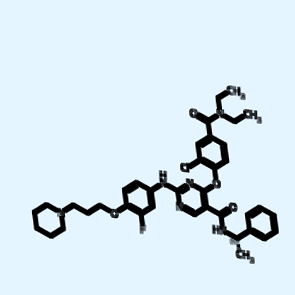 CCN(CC)C(=O)c1ccc(Oc2nc(Nc3ccc(OCCCN4CCCCC4)c(F)c3)ncc2C(=O)N[C@@H](C)c2ccccc2)c(Cl)c1